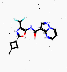 C[C@H]1C[C@H](c2nc(C(F)F)c(NC(=O)c3cnn4cccnc34)o2)C1